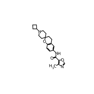 Cc1ncoc1C(=O)Nc1ccc2c(c1)CCC1(CCN(C3CCC3)CC1)O2